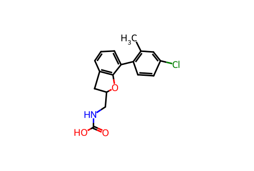 Cc1cc(Cl)ccc1-c1cccc2c1OC(CNC(=O)O)C2